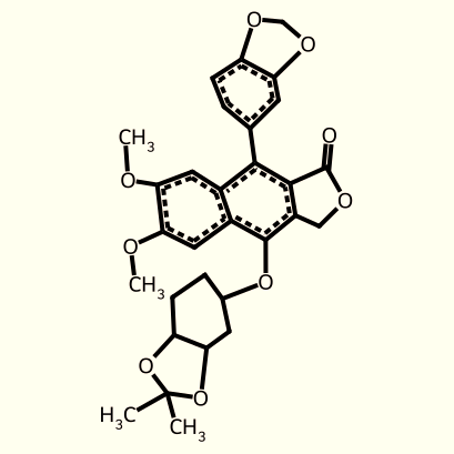 COc1cc2c(OC3CCC4OC(C)(C)OC4C3)c3c(c(-c4ccc5c(c4)OCO5)c2cc1OC)C(=O)OC3